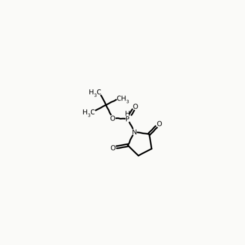 CC(C)(C)O[PH](=O)N1C(=O)CCC1=O